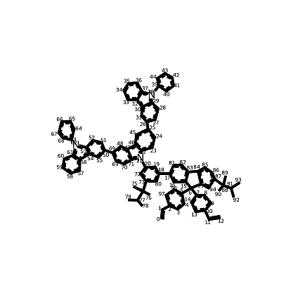 C=Cc1ccc(C2(c3ccc(C=C)cc3)c3cc(-c4cc(-n5c6ccc(-c7ccc8c(c7)c7ccccc7n8-c7ccccc7)cc6c6cc(-c7ccc8c(c7)c7ccccc7n8-c7ccccc7)ccc65)cc(C(C)(C)C(C)C)c4)ccc3-c3ccc(C(C)(C)C(C)C)cc32)cc1